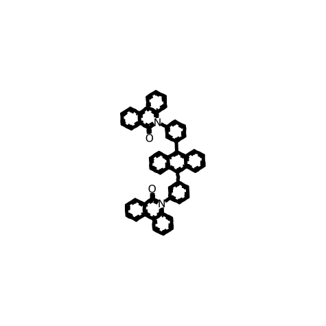 O=c1c2ccccc2c2ccccc2n1-c1cccc(-c2c3ccccc3c(-c3cccc(-n4c(=O)c5ccccc5c5ccccc54)c3)c3ccccc23)c1